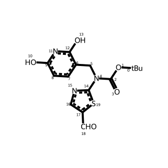 CC(C)(C)OC(=O)N(Cc1ccc(O)nc1O)c1ncc(C=O)s1